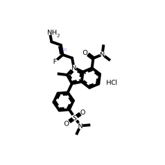 Cc1c(-c2cccc(S(=O)(=O)N(C)C)c2)c2cccc(C(=O)N(C)C)c2n1C/C(F)=C/CN.Cl